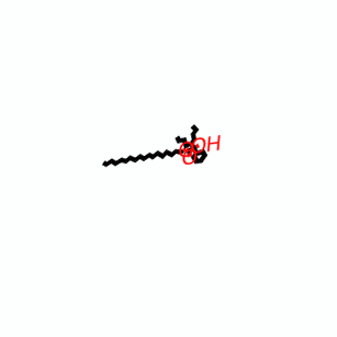 CCCCCCCCCCCCCCCCCCOC(=O)C(O)(c1ccccc1)C(CCCC)CCCC